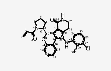 C=CC(=O)N1CCC[C@H]1COc1cnccc1-c1cc2c(n1Nc1cccc(Cl)c1F)CCNC2=O